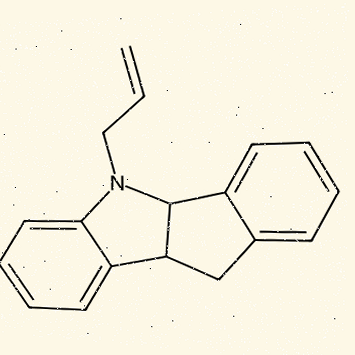 C=CCN1c2ccccc2C2Cc3ccccc3C21